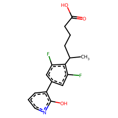 CC(CCCC(=O)O)c1c(F)cc(-c2cccnc2O)cc1F